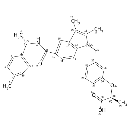 Cc1ccc([C@H](C)NC(=O)c2ccc3c(c2)c(C)c(C)n3Cc2cccc(O[C@@H](C)C(=O)O)c2)cc1